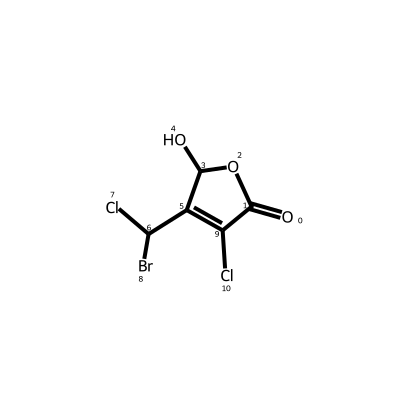 O=C1OC(O)C(C(Cl)Br)=C1Cl